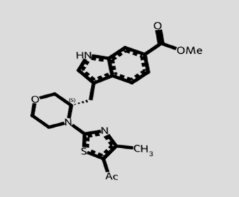 COC(=O)c1ccc2c(C[C@H]3COCCN3c3nc(C)c(C(C)=O)s3)c[nH]c2c1